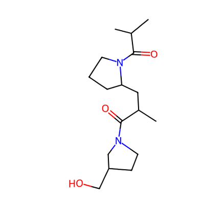 CC(C)C(=O)N1CCCC1CC(C)C(=O)N1CCC(CO)C1